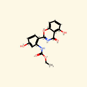 CCOC(=O)Nc1cc(O)ccc1-c1nc(=O)c2c(O)cccc2o1